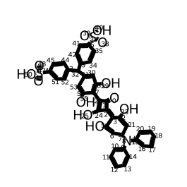 O=C1C(=C2C(O)=CC(=[N+](c3ccccc3)c3ccccc3)C=C2O)C(O)=C1c1c(O)cc(C(c2ccc(S(=O)(=O)O)cc2)c2ccc(S(=O)(=O)O)cc2)cc1O